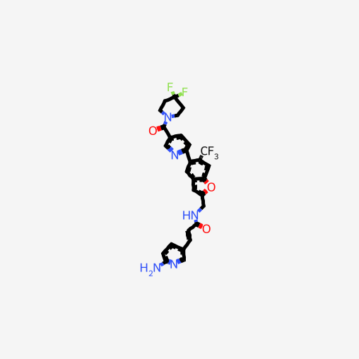 Nc1ccc(C=CC(=O)NCc2cc3cc(-c4ccc(C(=O)N5CCC(F)(F)CC5)cn4)c(C(F)(F)F)cc3o2)cn1